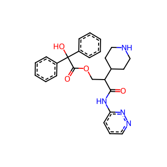 O=C(Nc1cccnn1)C(COC(=O)C(O)(c1ccccc1)c1ccccc1)C1CCNCC1